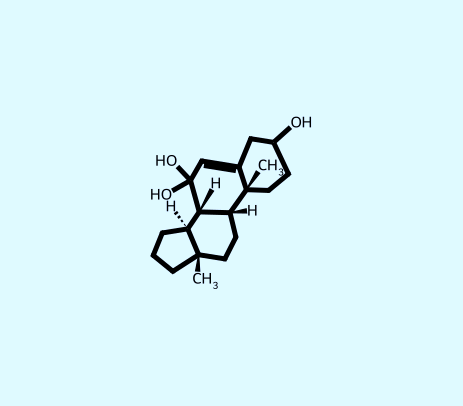 C[C@@]12CCC[C@H]1[C@H]1[C@@H](CC2)[C@@]2(C)CCC(O)CC2=CC1(O)O